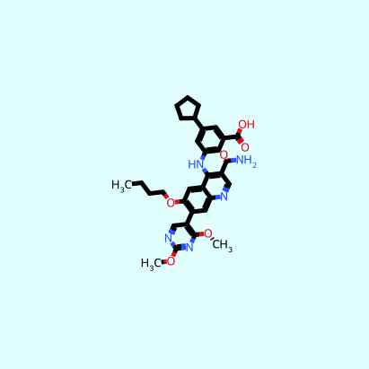 CCCCOc1cc2c(Nc3cc(C(=O)O)cc(C4CCCC4)c3)c(C(N)=O)cnc2cc1-c1cnc(OC)nc1OC